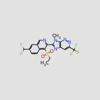 CCS(=O)(=O)c1c(-c2nc3cc(C(F)(F)F)nnc3n2C)ncc2cc(C(F)F)ccc12